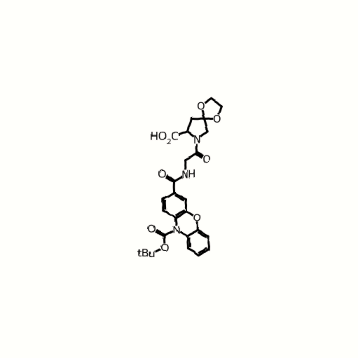 CC(C)(C)OC(=O)N1c2ccccc2Oc2cc(C(=O)NCC(=O)N3CC4(CC3C(=O)O)OCCO4)ccc21